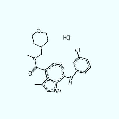 Cc1c[nH]c2c(Nc3cccc(Cl)c3)ncc(C(=O)N(C)CC3CCOCC3)c12.Cl